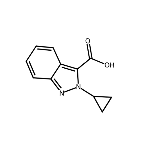 O=C(O)c1c2ccccc2nn1C1CC1